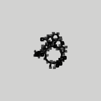 CO[C@]1(CN2CCC2)/C=C/C[C@H](C)[C@@H](C)S(=O)(=O)NC(=O)c2ccc3c(c2)N(C[C@@H]2CC[C@H]21)C[C@@]1(CCCc2cc(Cl)ccc21)CO3